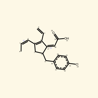 C=CC1=C(/C=C\C)CC(Cc2ccc(Cl)cc2)/C1=C/C(=O)O